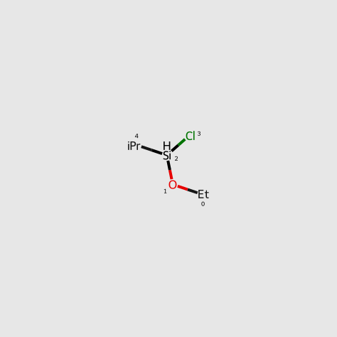 CCO[SiH](Cl)C(C)C